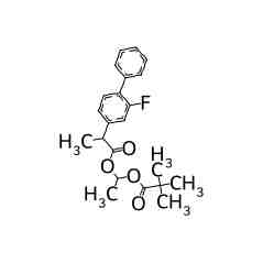 CC(OC(=O)C(C)c1ccc(-c2ccccc2)c(F)c1)OC(=O)C(C)(C)C